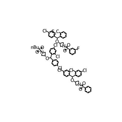 CCCCS(=O)(=O)N1CC(OC(c2ccc(Cl)cc2)c2ccc(Cl)cc2Cl)C1.O=S(=O)(c1cccc(F)c1)N1CC(OC(c2ccc(Cl)cc2)c2ccccc2C(F)(F)F)C1.O=S(=O)(c1ccccc1)N1CC(OC(c2ccc(Cl)cc2)c2ccc(Cl)cc2Cl)C1